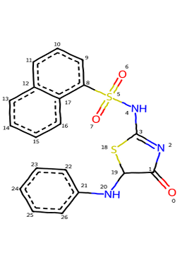 O=C1N=C(NS(=O)(=O)c2cccc3ccccc23)SC1Nc1ccccc1